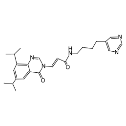 CC(C)c1cc(C(C)C)c2ncn(/C=C/C(=O)NCCCCc3cncnc3)c(=O)c2c1